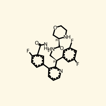 NC(=O)c1cc(-c2cccnc2[C@@H](CNC(=O)[C@H]2COCCN2)c2cc(F)cc(F)c2)ccc1F